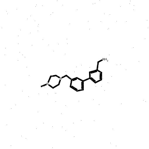 CN1CCN(Cc2cccc(-c3cccc(CN)c3)c2)CC1